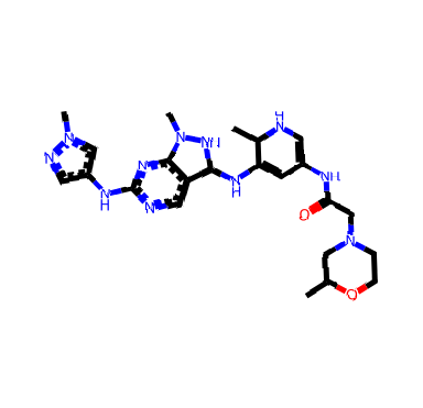 CC1CN(CC(=O)NC2=CNC(C)C(NC3NN(C)c4nc(Nc5cnn(C)c5)ncc43)=C2)CCO1